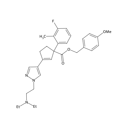 CCN(CC)CCn1cc(C2=CC(C(=O)OCc3ccc(OC)cc3)(c3cccc(F)c3C)CC2)cn1